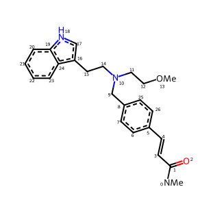 CNC(=O)/C=C/c1ccc(CN(CCOC)CCc2c[nH]c3ccccc23)cc1